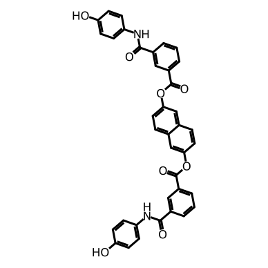 O=C(Nc1ccc(O)cc1)c1cccc(C(=O)Oc2ccc3cc(OC(=O)c4cccc(C(=O)Nc5ccc(O)cc5)c4)ccc3c2)c1